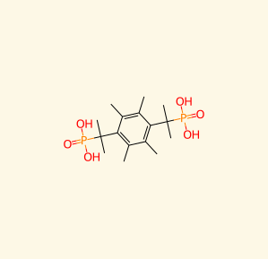 Cc1c(C)c(C(C)(C)P(=O)(O)O)c(C)c(C)c1C(C)(C)P(=O)(O)O